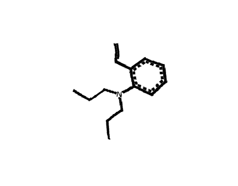 C=Cc1ccccc1N(CCC)CCC